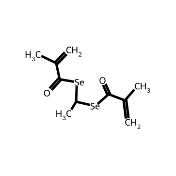 C=C(C)C(=O)[Se]C(C)[Se]C(=O)C(=C)C